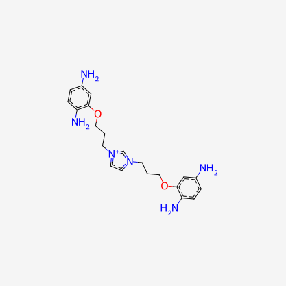 Nc1ccc(N)c(OCCCn2cc[n+](CCCOc3cc(N)ccc3N)c2)c1